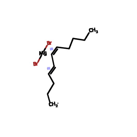 [Br][Mg][Br].[CH2]CC/C=C/C=C\CCCC